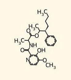 CCCC[C@@H](c1ccccc1)C(C)OC(=O)C(C)NC(=O)c1nccc(OC)c1O